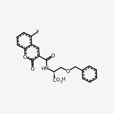 O=C(N[C@@H](COCc1ccccc1)C(=O)O)c1cc2c(F)cccc2oc1=O